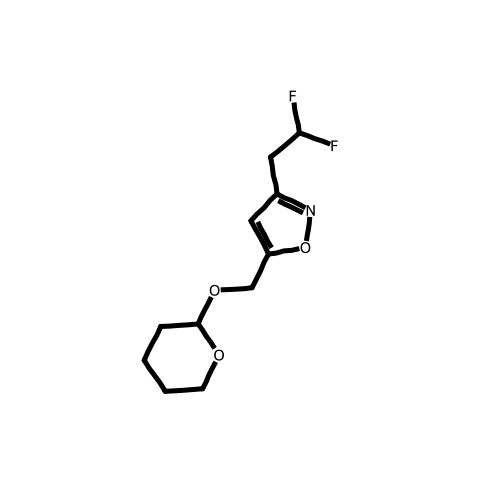 FC(F)Cc1cc(COC2CCCCO2)on1